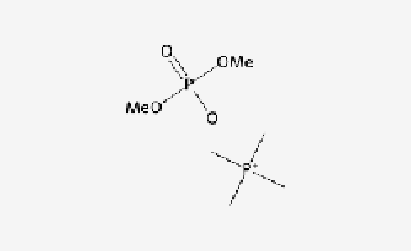 COP(=O)([O-])OC.C[P+](C)(C)C